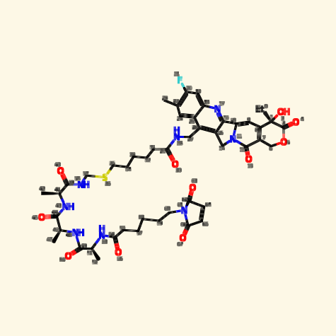 CC[C@@]1(O)C(=O)OCc2c1cc1n(c2=O)Cc2c-1nc1cc(F)c(C)cc1c2CNC(=O)CCCCCSCNC(=O)[C@H](C)NC(=O)[C@H](C)NC(=O)[C@H](C)NC(=O)CCCCCN1C(=O)C=CC1=O